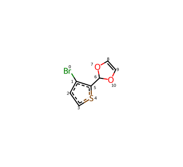 Brc1ccsc1C1OC=CO1